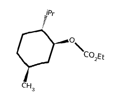 C[CH]OC(=O)O[C@H]1C[C@@H](C)CC[C@@H]1C(C)C